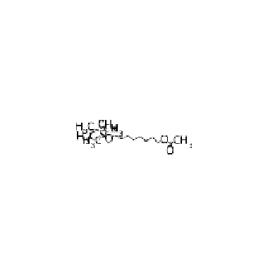 CC(=O)OCCCCCCCCO[Si](C)(C)C(C)(C)C